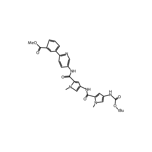 COC(=O)c1cccc(-c2ccc(NC(=O)c3cc(NC(=O)c4cc(NC(=O)OC(C)(C)C)cn4C)cn3C)cn2)c1